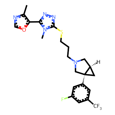 Cc1ncoc1-c1nnc(SCCCN2C[C@H]3C[C@@]3(c3cc(F)cc(C(F)(F)F)c3)C2)n1C